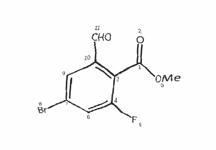 COC(=O)c1c(F)cc(Br)cc1C=O